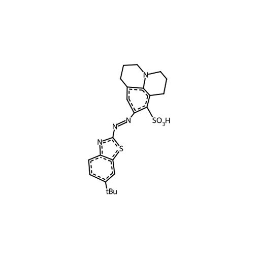 CC(C)(C)c1ccc2nc(N=Nc3cc4c5c(c3S(=O)(=O)O)CCCN5CCC4)sc2c1